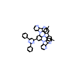 Cc1ccc2c(c1)c1cc(C)ccc1n2-c1c(-n2c3cccnc3c3ncccc32)cc(-c2cc(-c3ccccc3)nc(-c3ccccc3)n2)cc1-n1c2cccnc2c2ncccc21